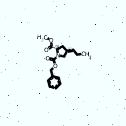 CC/C=C1/C[C@@H](C(=O)OC)N(C(=O)OCc2ccccc2)C1